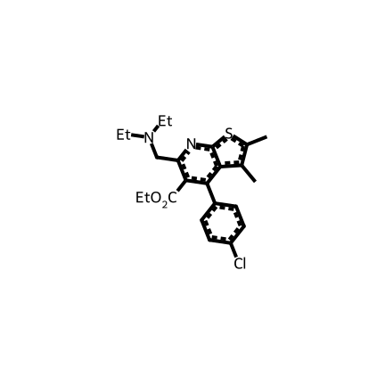 CCOC(=O)c1c(CN(CC)CC)nc2sc(C)c(C)c2c1-c1ccc(Cl)cc1